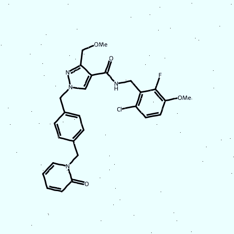 COCc1nn(Cc2ccc(Cn3ccccc3=O)cc2)cc1C(=O)NCc1c(Cl)ccc(OC)c1F